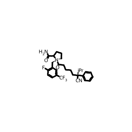 CC(C)[C@@](C#N)(CCCCC(=O)[N@@+]1(Cc2cc(C(F)(F)F)ccc2F)CCCC1C(N)=O)c1ccccc1